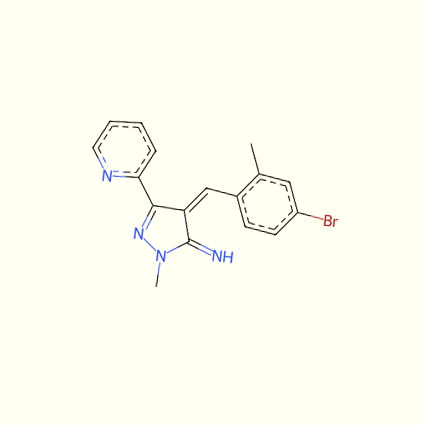 Cc1cc(Br)ccc1C=C1C(=N)N(C)N=C1c1ccccn1